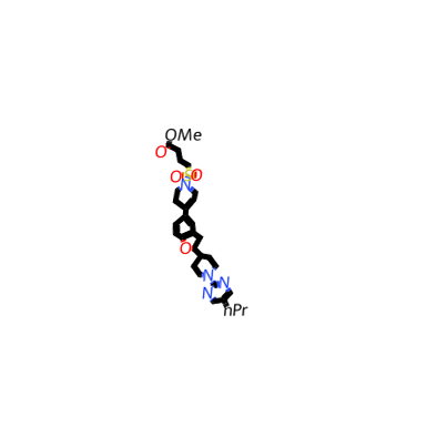 CCCc1cnc(N2CCC(C3Cc4cc(C5=CCN(S(=O)(=O)CCCC(=O)OC)CC5)ccc4O3)CC2)nc1